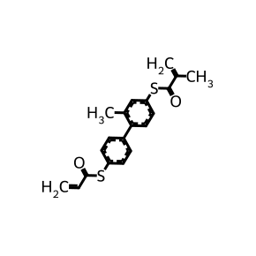 C=CC(=O)Sc1ccc(-c2ccc(SC(=O)C(=C)C)cc2C)cc1